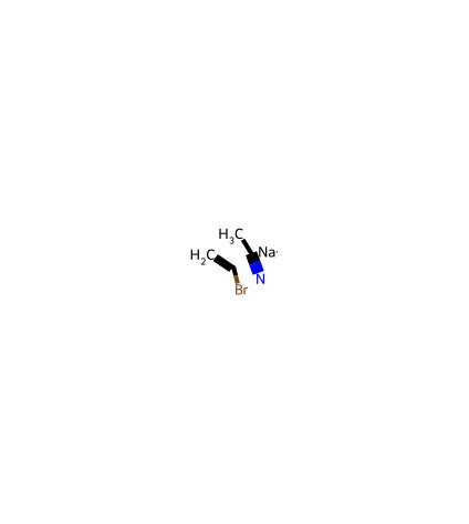 C=CBr.CC#N.[Na]